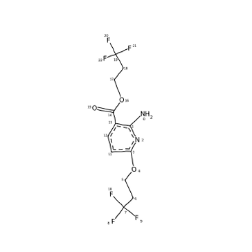 Nc1nc(OCCC(F)(F)F)ccc1C(=O)OCCC(F)(F)F